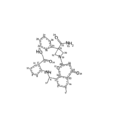 Cc1cc(C(C)Nc2ccccc2C(=O)O)c2oc(N3CC(C(N)=O)(c4ccccc4)C3)cc(=O)c2c1